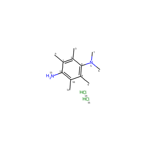 Cc1c(C)c(N(C)C)c(C)c(C)c1N.Cl.Cl